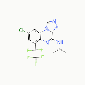 CC(C)Nc1nc2c(C(F)(F)C(F)(F)F)cc(Cl)cc2n2cnnc12